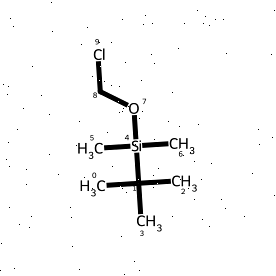 CC(C)(C)[Si](C)(C)OCCl